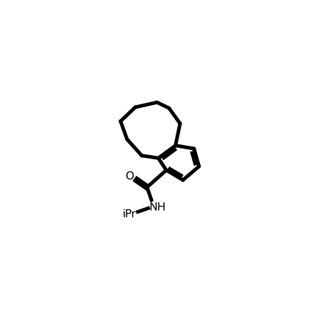 CC(C)NC(=O)c1cccc2c1CCCCCCC2